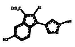 CCCn1cc(-n2c(CC)c(C(=O)OCC)c3cc(O)ccc32)cn1